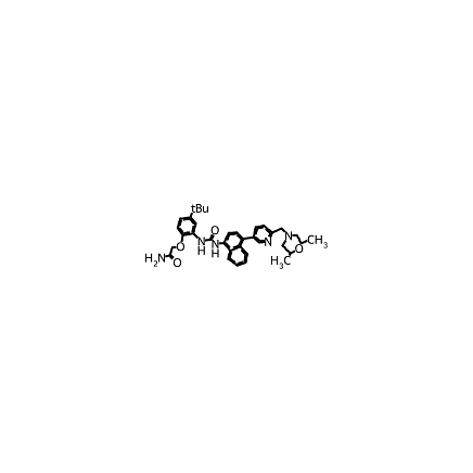 CC1CN(Cc2ccc(-c3ccc(NC(=O)Nc4cc(C(C)(C)C)ccc4OCC(N)=O)c4ccccc34)cn2)CC(C)O1